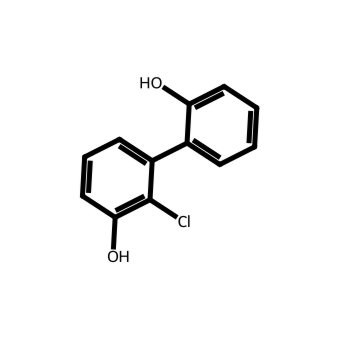 Oc1ccccc1-c1cccc(O)c1Cl